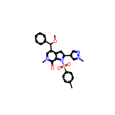 COC(c1ccccc1)c1cn(C)c(=O)c2c1cc(-c1cnn(C)c1)n2S(=O)(=O)c1ccc(C)cc1